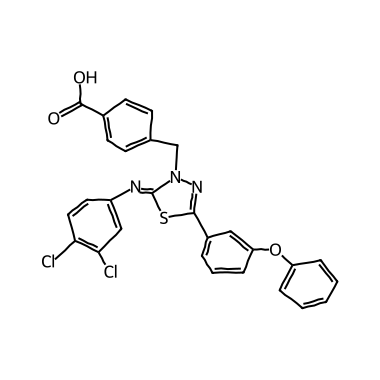 O=C(O)c1ccc(Cn2nc(-c3cccc(Oc4ccccc4)c3)s/c2=N\c2ccc(Cl)c(Cl)c2)cc1